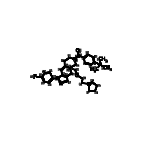 CC(C)(C)c1ccc([S+]([O-])N2CCC3=Cc4c(cnn4-c4ccc(F)cc4)C[C@]3(COCCN3CCCC3)C2)cc1